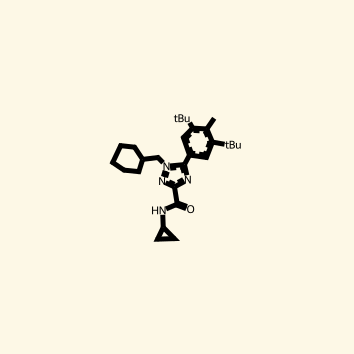 Cc1c(C(C)(C)C)cc(-c2nc(C(=O)NC3CC3)nn2CC2CCCCC2)cc1C(C)(C)C